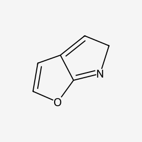 C1=c2ccoc2=NC1